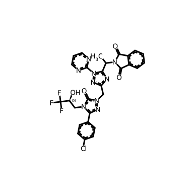 CC(c1nc(Cn2nc(-c3ccc(Cl)cc3)n(C[C@H](O)C(F)(F)F)c2=O)nn1-c1ncccn1)N1C(=O)c2ccccc2C1=O